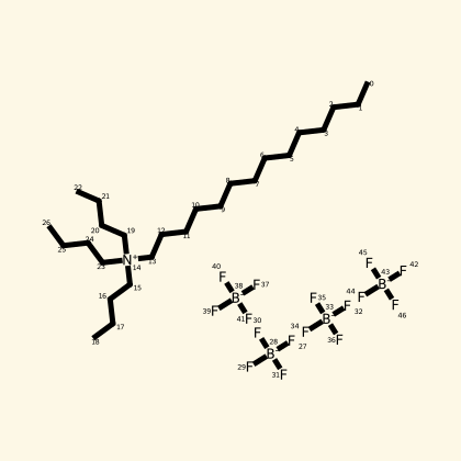 CCCCCCCCCCCCCC[N+](CCCC)(CCCC)CCCC.F[B-](F)(F)F.F[B-](F)(F)F.F[B-](F)(F)F.F[B-](F)(F)F